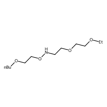 CCCCOCCONCCOCCOCC